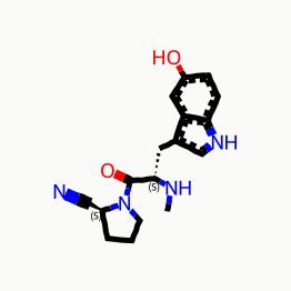 CN[C@@H](Cc1c[nH]c2ccc(O)cc12)C(=O)N1CCC[C@H]1C#N